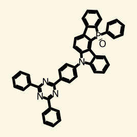 O=P1(c2ccccc2)c2ccccc2-c2ccc3c(c21)c1ccccc1n3-c1ccc(-c2nc(-c3ccccc3)nc(-c3ccccc3)n2)cc1